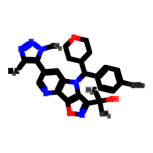 COc1ccc(C(C2CCOCC2)n2c3cc(-c4c(C)nnn4C)cnc3c3onc(C(C)(C)O)c32)cc1